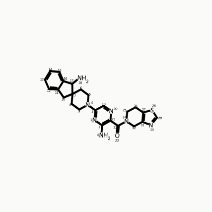 Nc1nc(N2CCC3(CC2)Cc2ccccc2C3N)cnc1C(=O)N1CCc2scnc2C1